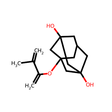 C=C(C)C(=C)OC12CC3CC(O)(CC(O)(C3)C1)C2